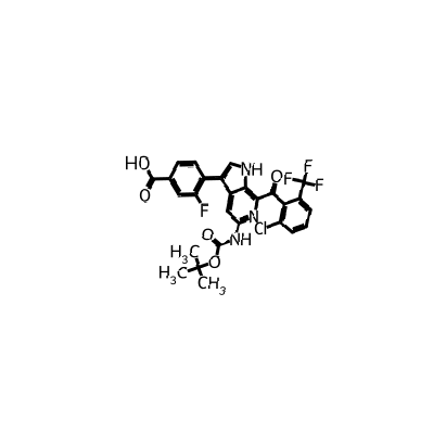 CC(C)(C)OC(=O)Nc1cc2c(-c3ccc(C(=O)O)cc3F)c[nH]c2c(C(=O)c2c(Cl)cccc2C(F)(F)F)n1